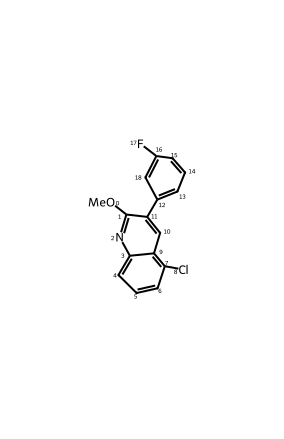 COc1nc2cccc(Cl)c2cc1-c1cccc(F)c1